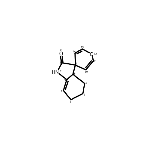 O=C1NC2=CCCCC2C12C=COC=C2